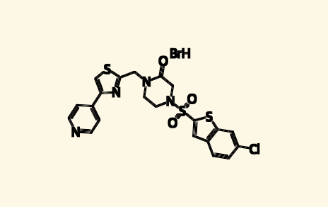 Br.O=C1CN(S(=O)(=O)c2cc3ccc(Cl)cc3s2)CCN1Cc1nc(-c2ccncc2)cs1